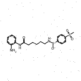 CS(=O)(=O)c1ccc([S+]([O-])NCCCCCC(=O)Nc2ccccc2N)cc1